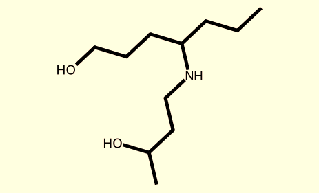 CCCC(CCCO)NCCC(C)O